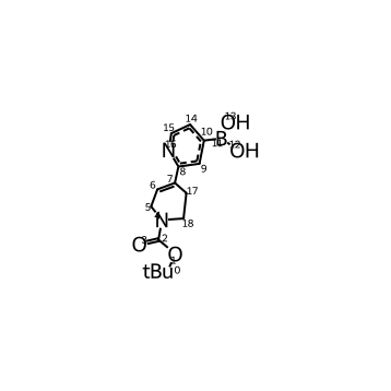 CC(C)(C)OC(=O)N1CC=C(c2cc(B(O)O)ccn2)CC1